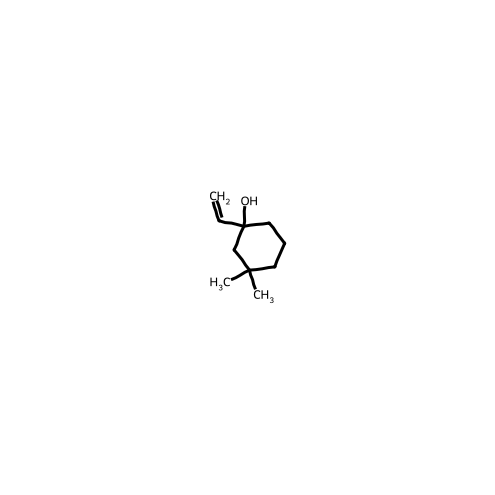 C=CC1(O)CCCC(C)(C)C1